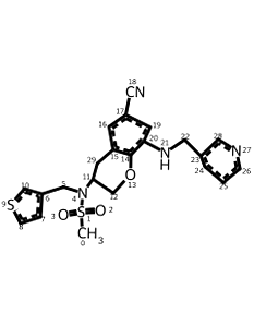 CS(=O)(=O)N(Cc1ccsc1)C1COc2c(cc(C#N)cc2NCc2cccnc2)C1